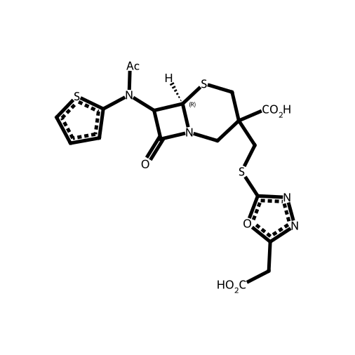 CC(=O)N(c1cccs1)C1C(=O)N2CC(CSc3nnc(CC(=O)O)o3)(C(=O)O)CS[C@H]12